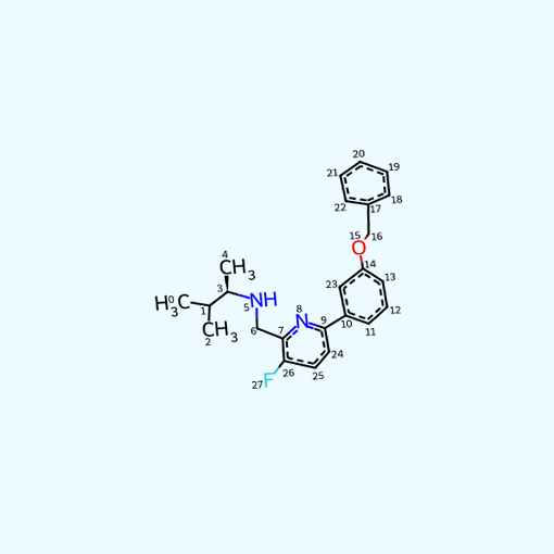 CC(C)[C@@H](C)NCc1nc(-c2cccc(OCc3ccccc3)c2)ccc1F